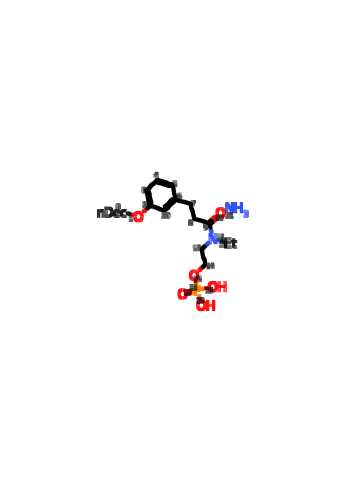 CCCCCCCCCCOc1cccc(CCC(=O)N(CC)CCOP(=O)(O)O)c1.N